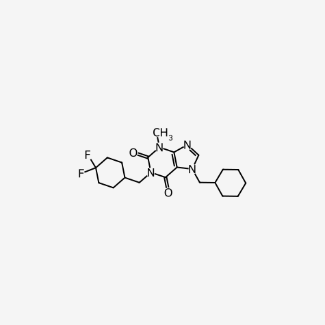 Cn1c(=O)n(CC2CCC(F)(F)CC2)c(=O)c2c1ncn2CC1CCCCC1